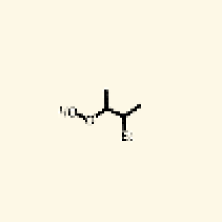 CCC(C)C(C)OO